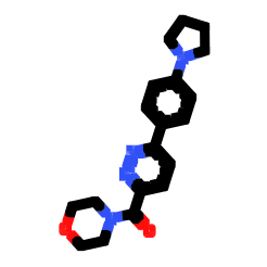 O=C(c1ccc(-c2ccc(N3CCCC3)cc2)nn1)N1CCOCC1